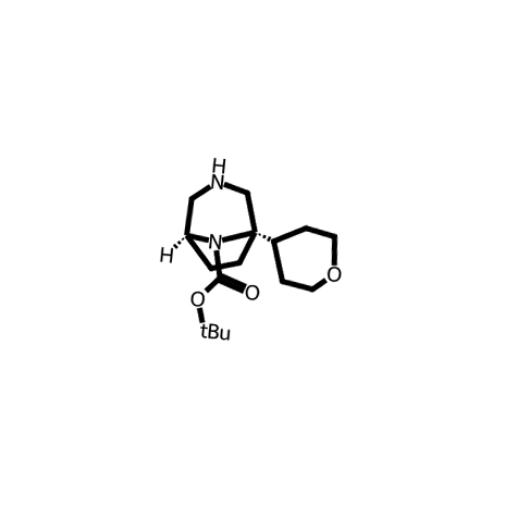 CC(C)(C)OC(=O)N1[C@H]2CC[C@]1(C1CCOCC1)CNC2